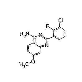 COc1ccc2c(N)nc(-c3cccc(Cl)c3F)nc2c1